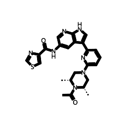 CC(=O)N1[C@H](C)CN(c2cccc(-c3c[nH]c4ncc(NC(=O)c5cscn5)cc34)n2)C[C@@H]1C